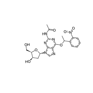 CC(=O)Nc1nc(OC(C)c2ccccc2[N+](=O)[O-])c2ncn([C@H]3C[C@@H](O)[C@@H](CO)O3)c2n1